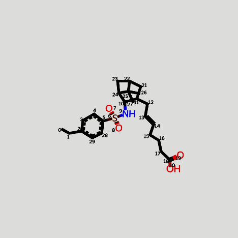 CCc1ccc(S(=O)(=O)NC2C(CC=CCCCC(=O)O)CC3CC2C3(C)C)cc1